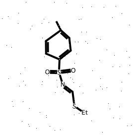 CCSC=NS(=O)(=O)c1ccc(C)cc1